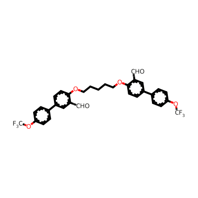 O=Cc1cc(-c2ccc(OC(F)(F)F)cc2)ccc1OCCCCCOc1ccc(-c2ccc(OC(F)(F)F)cc2)cc1C=O